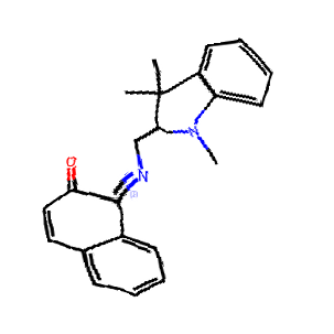 CN1c2ccccc2C(C)(C)C1C/N=C1\C(=O)C=Cc2ccccc21